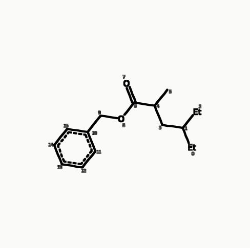 CCC(CC)CC(C)C(=O)OCc1ccccc1